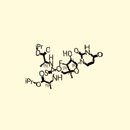 CC(C)OC(=O)[C@H](C)NP(=S)(N[C@@H](C)C(=O)OC(C)C)OC[C@@]1(C)O[C@@H](n2ccc(=O)[nH]c2=O)[C@H](O)[C@@H]1F